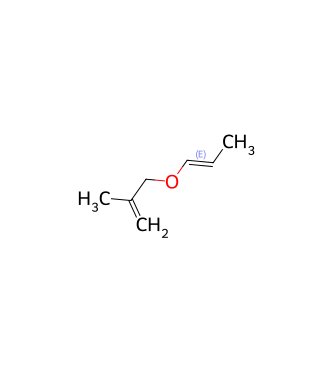 C=C(C)CO/C=C/C